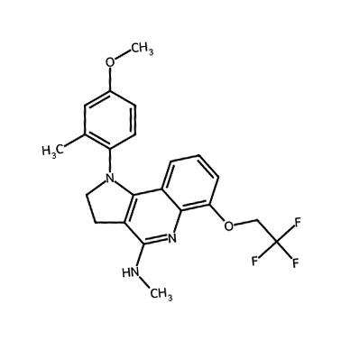 CNc1nc2c(OCC(F)(F)F)cccc2c2c1CCN2c1ccc(OC)cc1C